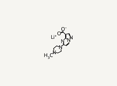 CN1CCN(c2ccn3ncc(C(=O)[O-])c3n2)CC1.[Li+]